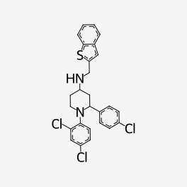 Clc1ccc(C2CC(NCc3cc4ccccc4s3)CCN2c2ccc(Cl)cc2Cl)cc1